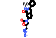 [N-]=[N+]=NC[C@H]1CN(c2ccc3cc(-c4ccccc4C(F)(F)F)[nH]c(=O)c3c2)C(=O)O1